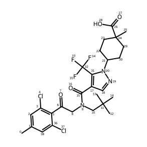 Cc1cc(Cl)c(C(=O)CN(CC(C)(C)C)C(=O)c2cnn(C3CCC(C)(C(=O)O)CC3)c2C(F)(F)F)c(Cl)c1